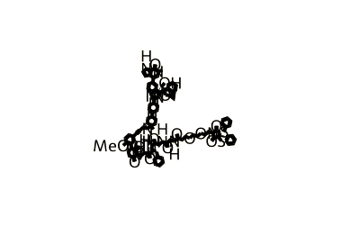 COc1ccc(C#CCNC2(C)CCN(C3CCN(c4nc([C@@](CO)(OC5CC5)c5ccccc5)c5cc(-c6cn(C)c(=O)c7[nH]ccc67)ccc5n4)CC3)CC2)cc1N1CCC(=O)N(CNC(=O)[C@H](Cc2ccccc2)NC(=O)CNC(=O)CNC(=O)CCOCCOCCN2C(=O)C(Sc3ccccc3)=C(Sc3ccccc3)C2=O)C1=O